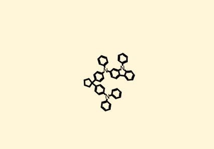 c1ccc(N(c2ccccc2)c2ccc(C3(c4ccc(N(c5ccccc5)c5ccc6c7ccccc7n(-c7ccccc7)c6c5)cc4)CCCC3)cc2)cc1